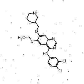 CCOc1cc2c(Nc3ccc(Cl)c(Cl)c3)ncnc2cc1OCC1CNCCO1